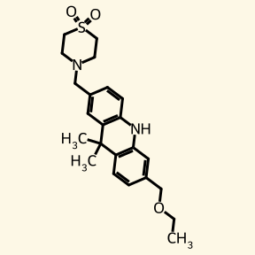 CCOCc1ccc2c(c1)Nc1ccc(CN3CCS(=O)(=O)CC3)cc1C2(C)C